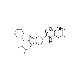 CCC(C)CC(NC(=O)c1ccc2c(c1)nc(CC1CCCCC1)n2CC(C)CC)C(=O)O